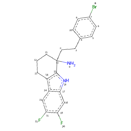 NC1(CCc2ccc(Br)cc2)CCCc2c1[nH]c1cc(F)c(F)cc21